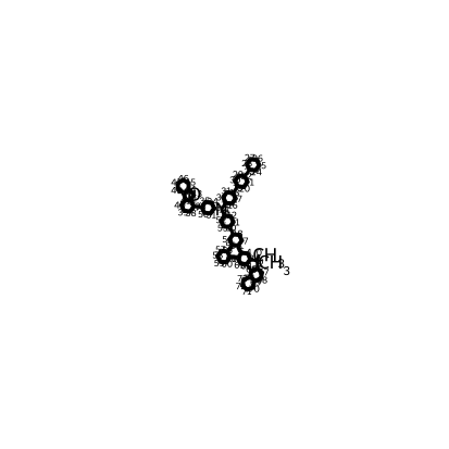 CC1(C)c2cc3c4ccc(-c5ccc(N(c6ccc(-c7ccc(-c8ccccc8)cc7)cc6)c6ccc(-c7cccc8c7oc7ccccc78)cc6)cc5)cc4c4ccccc4c3cc2-c2c1ccc1ccccc21